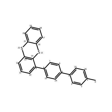 Cc1ccc(-c2ccc(-c3cccc4c3Sc3ccccc3S4)cc2)cc1